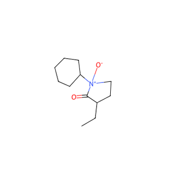 CCC1CC[N+]([O-])(C2CCCCC2)C1=O